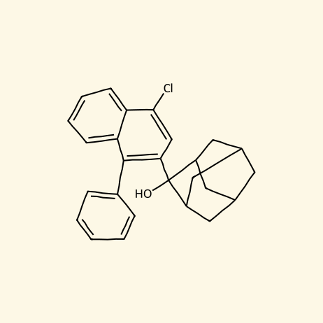 OC1(c2cc(Cl)c3ccccc3c2-c2ccccc2)C2CC3CC(C2)CC1C3